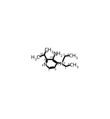 CCN(CC)c1ccnc(C(C)C)c1N